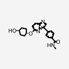 CNC(=O)c1ccc(-c2cnc3ccc(O[C@H]4CC[C@H](O)CC4)nn23)cc1